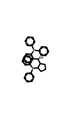 OC(c1ccccc1P(c1ccccc1)c1ccccc1)C1CCCC1P(c1ccccc1)c1ccccc1